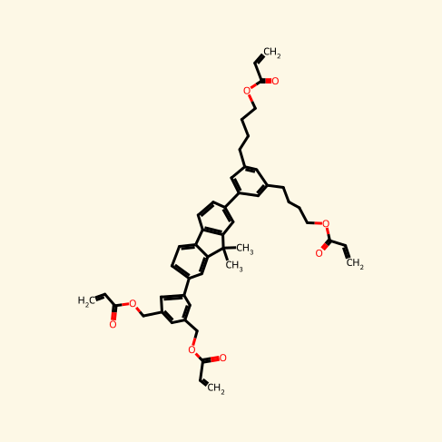 C=CC(=O)OCCCCc1cc(CCCCOC(=O)C=C)cc(-c2ccc3c(c2)C(C)(C)c2cc(-c4cc(COC(=O)C=C)cc(COC(=O)C=C)c4)ccc2-3)c1